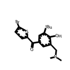 CN(C)Cc1cc(C(=O)c2ccc(Br)s2)cc(C(C)(C)C)c1O